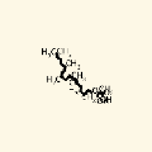 C=C(CC=C(C)CCC=C(C)C)CCC(C)(C)C=CCCC(C)=CCO[C@](C)(CO)C(=O)O